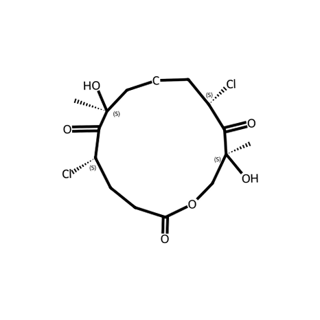 C[C@]1(O)CCC[C@H](Cl)C(=O)[C@@](C)(O)COC(=O)CC[C@H](Cl)C1=O